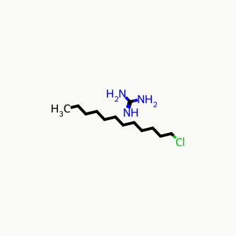 CCCCCCCCCCCCCl.N=C(N)N